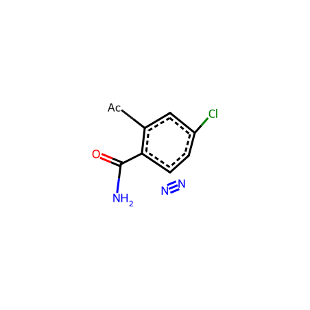 CC(=O)c1cc(Cl)ccc1C(N)=O.N#N